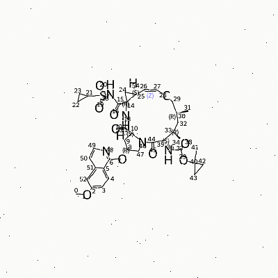 COc1ccc2c(O[C@@H]3C[C@H]4C(=O)N[C@]5(C(=O)NS(=O)(=O)C6CC6)C[C@H]5/C=C\CC[C@@H](C)C[C@@H](C)[C@H](NC(=O)OC5(C)CC5)C(=O)N4C3)nccc2c1